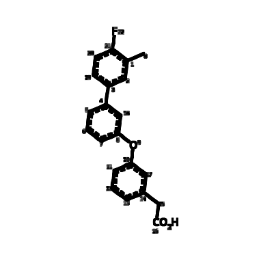 Cc1cc(-c2cccc(Oc3cccc(CC(=O)O)c3)c2)ccc1F